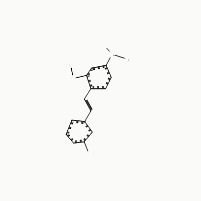 CCCOc1cc(N(CCC)CCC)ccc1C=Cc1cccc(OC)c1.Cl